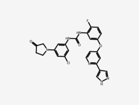 O=C1CCN(c2cc(Cl)cc(NC(=O)Nc3cc(Oc4ccnc(-c5cn[nH]c5)c4)ccc3F)c2)C1